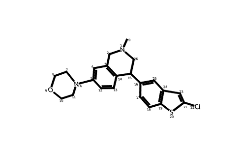 CN1Cc2cc(N3CCOCC3)ccc2C(c2ccc3sc(Cl)cc3c2)C1